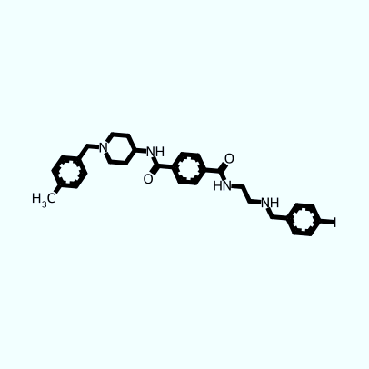 Cc1ccc(CN2CCC(NC(=O)c3ccc(C(=O)NCCNCc4ccc(I)cc4)cc3)CC2)cc1